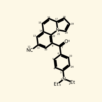 CCN(CC)c1ccc(C(=O)c2cc(C#N)cc3ccc4cccn4c23)cc1